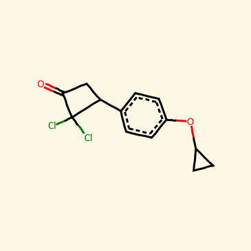 O=C1CC(c2ccc(OC3CC3)cc2)C1(Cl)Cl